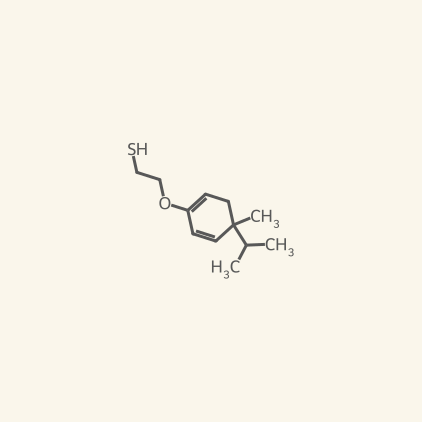 CC(C)C1(C)C=CC(OCCS)=CC1